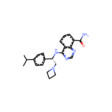 CC(C)c1ccc([C@@H](CN2CCC2)Nc2ncnc3c(C(N)=O)cccc23)cc1